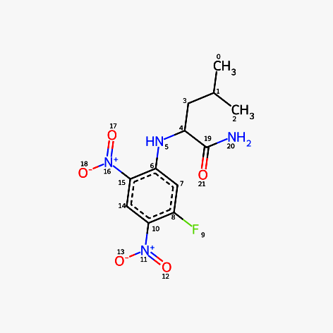 CC(C)CC(Nc1cc(F)c([N+](=O)[O-])cc1[N+](=O)[O-])C(N)=O